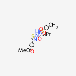 COC(=O)c1ccc(-c2csc(NC(=O)[C@H](CC(C)C)NS(=O)(=O)c3ccc(C)cc3)n2)cc1